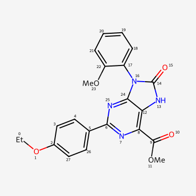 CCOc1ccc(-c2nc(C(=O)OC)c3[nH]c(=O)n(-c4ccccc4OC)c3n2)cc1